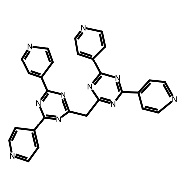 c1cc(-c2nc(Cc3nc(-c4ccncc4)nc(-c4ccncc4)n3)nc(-c3ccncc3)n2)ccn1